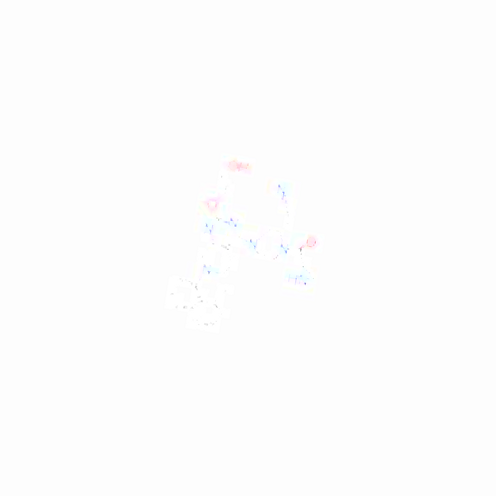 Cc1cccc2cccc(N3CCc4c(nc(OCCO)nc4N4CCN(C(=O)[C@H]5CN5)[C@@H](CC#N)C4)C3)c12